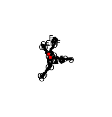 COCCOc1cccc(CN(C(=O)C2=C(c3ccc(CCCOc4c(F)ccc(F)c4Cl)cc3)CC3CN(C(=O)OCCCCO[N+](=O)[O-])CC2N3C(=O)OCCCCO[N+](=O)[O-])C2CC2)c1C